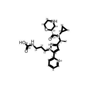 C[C@@H](c1cc(-c2ccccn2)n(CCCNC(=O)O)n1)N(C(=O)[C@H]1CNCCO1)C1CC1